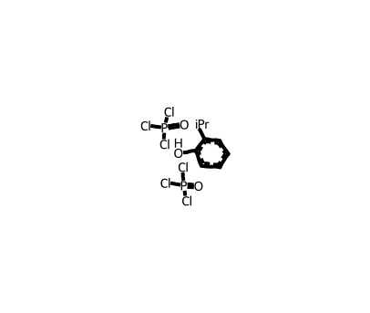 CC(C)c1ccccc1O.O=P(Cl)(Cl)Cl.O=P(Cl)(Cl)Cl